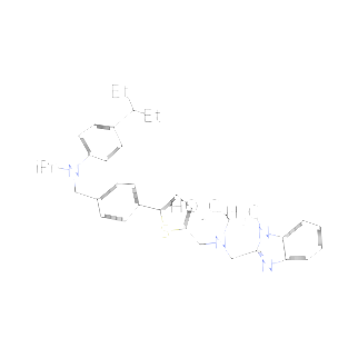 CCC(CC)c1ccc(N(Cc2ccc(-c3ccc(CN(CC(=O)O)Cc4nc5ccccc5n4C)s3)cc2)C(C)C)cc1